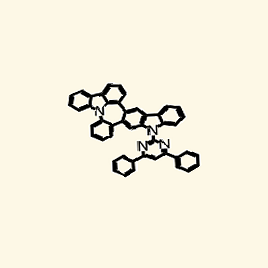 c1ccc(-c2cc(-c3ccccc3)nc(-n3c4ccccc4c4cc5c(cc43)-c3ccccc3-n3c4ccccc4c4cccc-5c43)n2)cc1